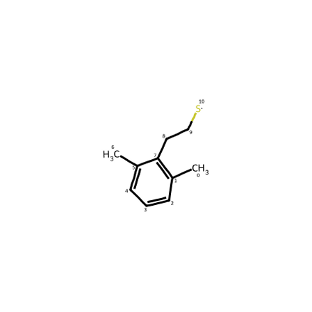 Cc1cccc(C)c1CC[S]